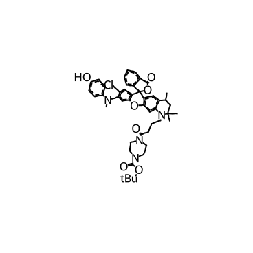 CC1CC(C)(C)N(CCCC(=O)N2CCN(C(=O)OC(C)(C)C)CC2)c2cc3c(cc21)C1(OC(=O)c2ccccc21)c1cc(Cl)c(N(C)c2ccc(O)cc2)cc1O3